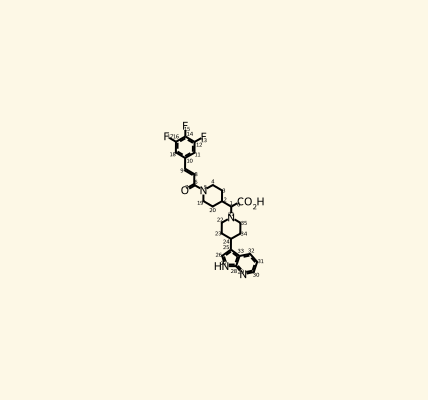 O=C(O)C(C1CCN(C(=O)C=Cc2cc(F)c(F)c(F)c2)CC1)N1CCC(c2c[nH]c3ncccc23)CC1